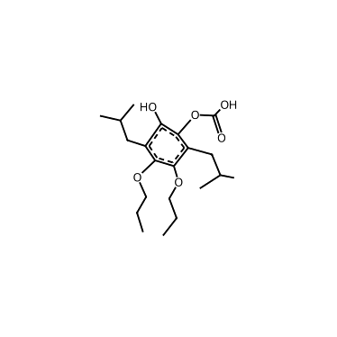 CCCOc1c(CC(C)C)c(O)c(OC(=O)O)c(CC(C)C)c1OCCC